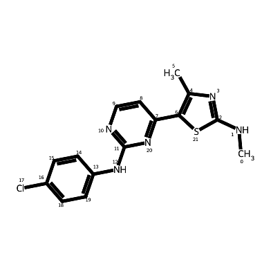 CNc1nc(C)c(-c2ccnc(Nc3ccc(Cl)cc3)n2)s1